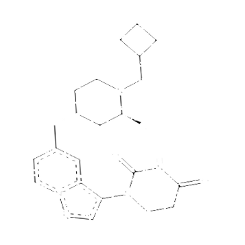 C[C@H]1C[C@H](Cc2ccn3ncc(N4CCC(=O)NC4=O)c3c2)CCN1CC1CCC1